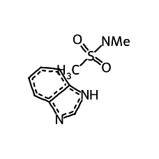 CNS(C)(=O)=O.c1ccc2[nH]cnc2c1